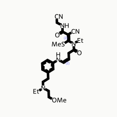 CCN(CCOC)CCc1cccc(N/C=C\CC(=O)N(CC)/C(SC)=C(\C#N)C(=O)NCC#N)c1